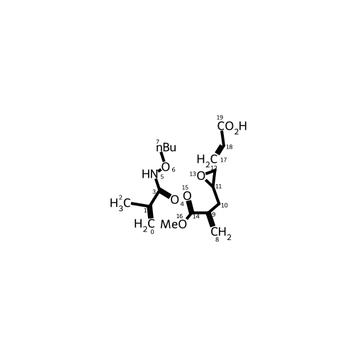 C=C(C)C(=O)NOCCCC.C=C(CC1CO1)C(=O)OC.C=CC(=O)O